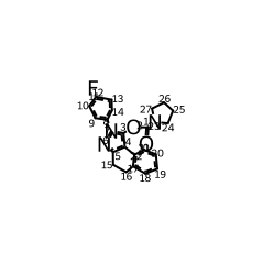 O=C(Oc1c2c(nn1-c1ccc(F)cc1)CCc1ccccc1-2)N1CCCC1